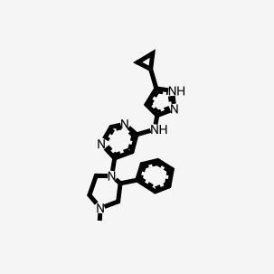 CN1CCN(c2cc(Nc3cc(C4CC4)[nH]n3)ncn2)C(c2ccccc2)C1